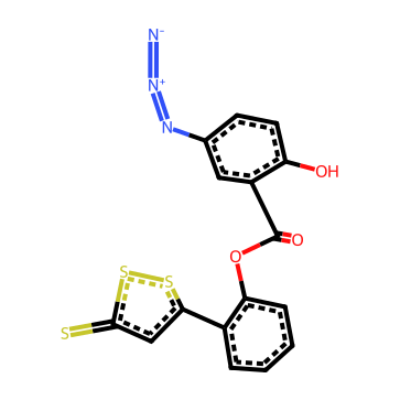 [N-]=[N+]=Nc1ccc(O)c(C(=O)Oc2ccccc2-c2cc(=S)ss2)c1